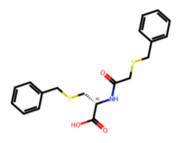 O=C(CSCc1ccccc1)N[C@@H](CSCc1ccccc1)C(=O)O